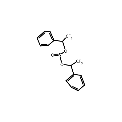 O=S(OC(c1ccccc1)C(F)(F)F)OC(c1ccccc1)C(F)(F)F